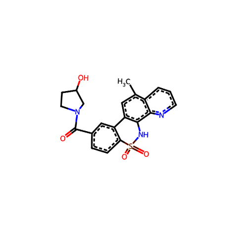 Cc1cc2c(c3ncccc13)NS(=O)(=O)c1ccc(C(=O)N3CCC(O)C3)cc1-2